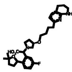 CC1(C)CCC(c2ccc(F)cc2C(C(=O)O)N2CC[C@@H](OCCCCc3ccc4c(n3)NCCC4)C2)O1